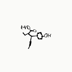 CC#C[C@H](c1ccc(O)cc1)C(CC)C(=O)O